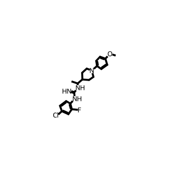 COc1ccc(N2CCC(C(C)NC(=N)Nc3ccc(Cl)cc3F)CC2)cc1